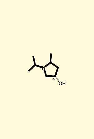 CC(C)N1C[C@@H](O)CC1C